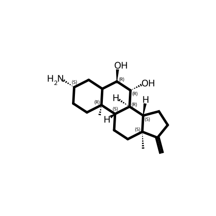 C=C1CC[C@H]2[C@@H]3[C@@H](O)[C@H](O)C4C[C@@H](N)CC[C@]4(C)[C@H]3CC[C@]12C